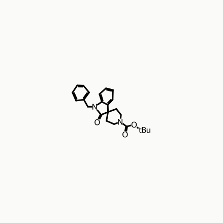 CC(C)(C)OC(=O)N1CCC2(CC1)C(=O)N(Cc1ccccc1)c1ccccc12